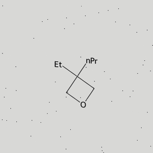 [CH2]CC1(CCC)COC1